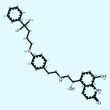 O=c1ccc2c([C@H](O)CNCCc3ccc(OCCCC(F)(F)c4ccccc4)cc3)ccc(O)c2[nH]1